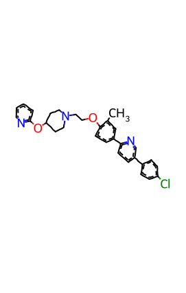 Cc1cc(-c2ccc(-c3ccc(Cl)cc3)cn2)ccc1OCCN1CCC(Oc2ccccn2)CC1